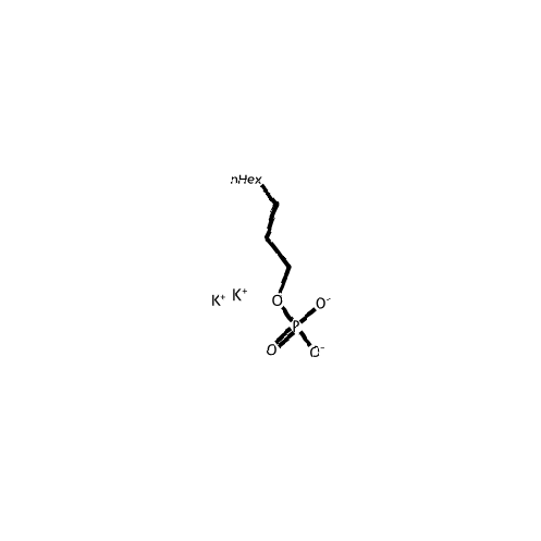 CCCCCCCCCOP(=O)([O-])[O-].[K+].[K+]